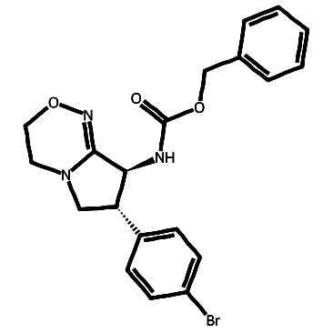 O=C(N[C@@H]1C2=NOCCN2C[C@H]1c1ccc(Br)cc1)OCc1ccccc1